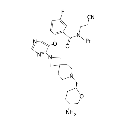 CC(C)N(CCC#N)C(=O)c1cc(F)ccc1Oc1cncnc1N1CC2(CCN(C[C@@H]3CC[C@@H](N)CO3)CC2)C1